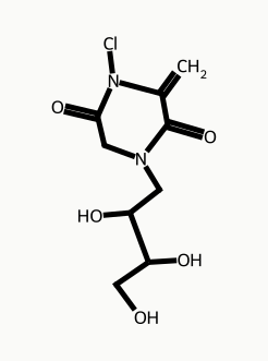 C=C1C(=O)N(CC(O)C(O)CO)CC(=O)N1Cl